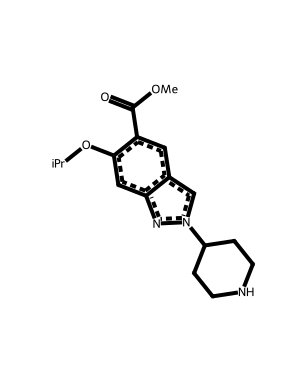 COC(=O)c1cc2cn(C3CCNCC3)nc2cc1OC(C)C